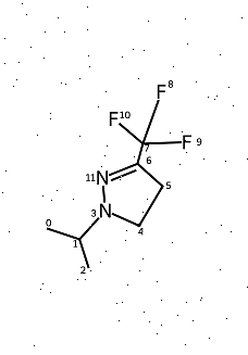 CC(C)N1CCC(C(F)(F)F)=N1